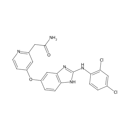 NC(=O)Cc1cc(Oc2ccc3[nH]c(Nc4ccc(Cl)cc4Cl)nc3c2)ccn1